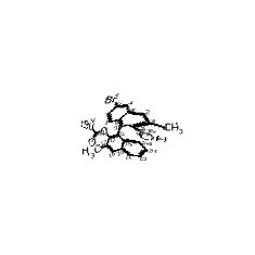 Cc1cc2cc(Br)ccc2c(-c2c(OC(=O)C(C)(C)C)c(C)cc3ccccc23)c1O